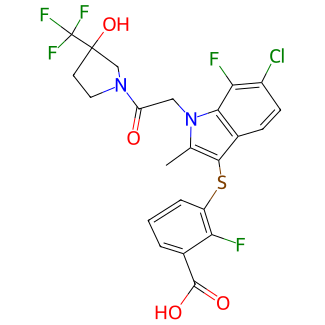 Cc1c(Sc2cccc(C(=O)O)c2F)c2ccc(Cl)c(F)c2n1CC(=O)N1CCC(O)(C(F)(F)F)C1